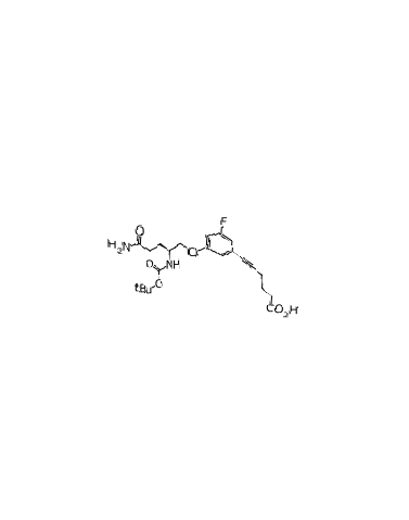 CC(C)(C)OC(=O)N[C@@H](CCC(N)=O)COc1cc(F)cc(C#CCCCC(=O)O)c1